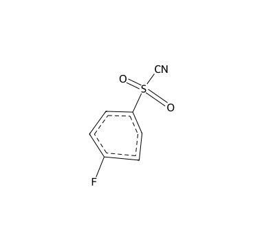 N#CS(=O)(=O)c1ccc(F)cc1